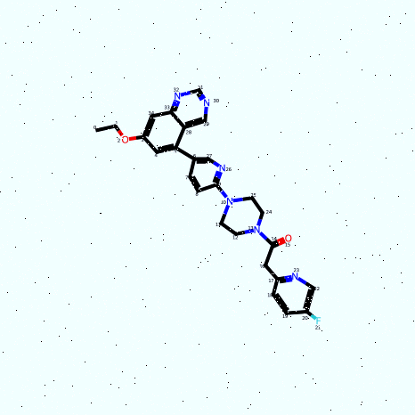 CCOc1cc(-c2ccc(N3CCN(C(=O)Cc4ccc(F)cn4)CC3)nc2)c2cncnc2c1